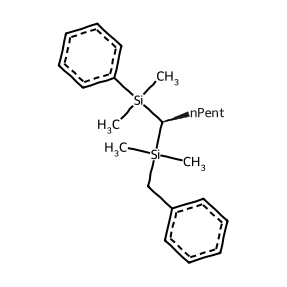 CCCCC[C@@H]([Si](C)(C)Cc1ccccc1)[Si](C)(C)c1ccccc1